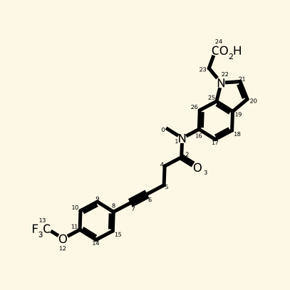 CN(C(=O)CCC#Cc1ccc(OC(F)(F)F)cc1)c1ccc2ccn(CC(=O)O)c2c1